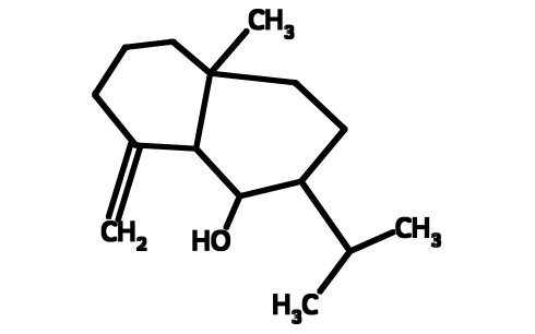 C=C1CCCC2(C)CCC(C(C)C)C(O)C12